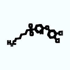 CCCCCCS(=O)(=O)c1ccc(Oc2ccc(Cl)c(Cl)c2)nc1